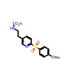 COc1ccc(S(=O)(=O)c2ccc(CCNC(=O)O)cn2)cc1